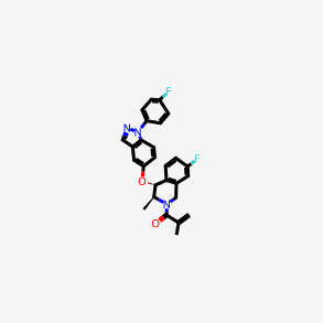 C=C(C)C(=O)N1Cc2cc(F)ccc2[C@@H](Oc2ccc3c(cnn3-c3ccc(F)cc3)c2)[C@@H]1C